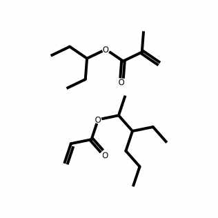 C=C(C)C(=O)OC(CC)CC.C=CC(=O)OC(C)C(CC)CCC